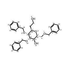 OCC[C@H]1O[C@H](COCc2ccccc2)[C@@H](O)[C@H](OCc2ccccc2)[C@@H]1OCc1ccccc1